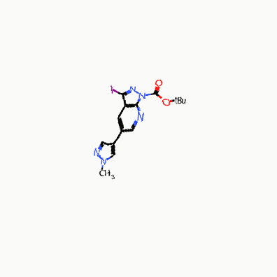 Cn1cc(-c2cnc3c(c2)c(I)nn3C(=O)OC(C)(C)C)cn1